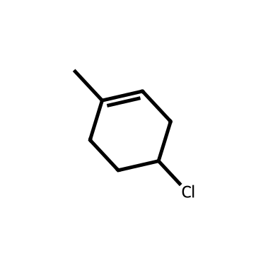 CC1=CCC(Cl)CC1